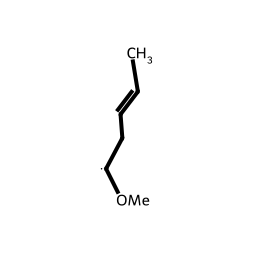 C/C=C/C[CH]OC